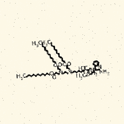 CCCCCCCCCCCCOC(=O)CCN(CCCCCC(=O)OC(C)(C)Cn1c(COCC)nc2c(N)nc3ccccc3c21)CCCN(CCC(=O)OCCCCCCCCCCCC)CCC(=O)OCCCCCCCCCCCC